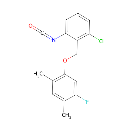 Cc1cc(C)c(OCc2c(Cl)cccc2N=C=O)cc1F